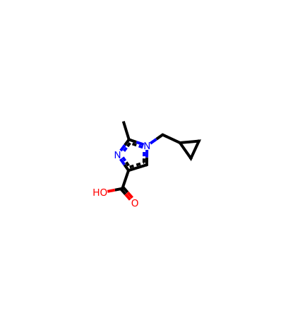 Cc1nc(C(=O)O)cn1CC1CC1